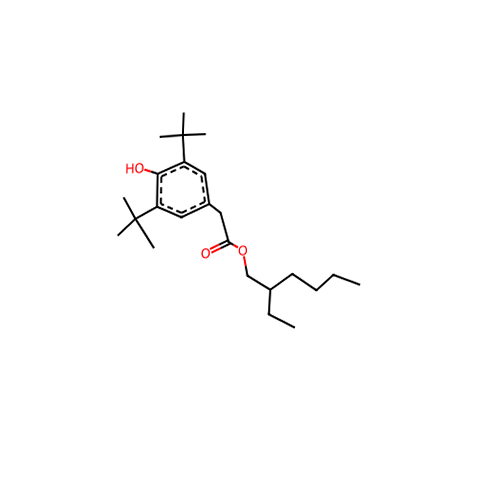 CCCCC(CC)COC(=O)Cc1cc(C(C)(C)C)c(O)c(C(C)(C)C)c1